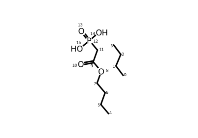 CCCC.CCCCOC(=O)CP(=O)(O)O